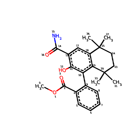 COC(=O)c1ccccc1-c1c(O)c(C(N)=O)cc2c1C(C)(C)CCC2(C)C